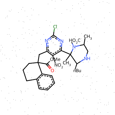 CCCCC1NCC(C)N(C(=O)O)C1(C)c1nc(Cl)nc(CC2(C(=O)OC)CCCc3ccccc32)c1[N+](=O)[O-]